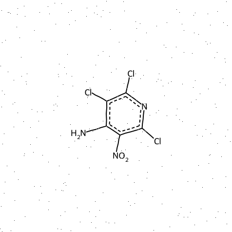 Nc1c(Cl)c(Cl)nc(Cl)c1[N+](=O)[O-]